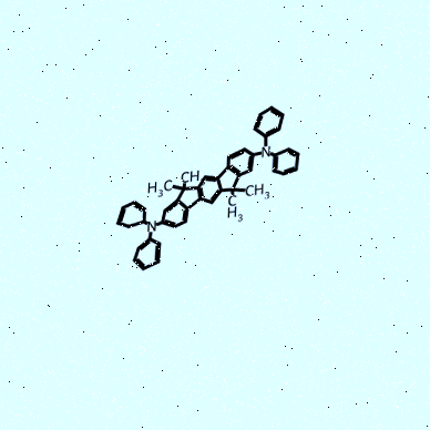 CC1(C)c2cc(N(c3ccccc3)c3ccccc3)ccc2-c2cc3c(cc21)-c1ccc(N(c2ccccc2)C2C=CC=CC2)cc1C3(C)C